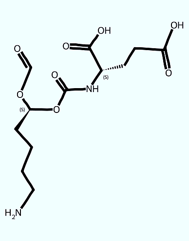 NCCCC[C@@H](OC=O)OC(=O)N[C@@H](CCC(=O)O)C(=O)O